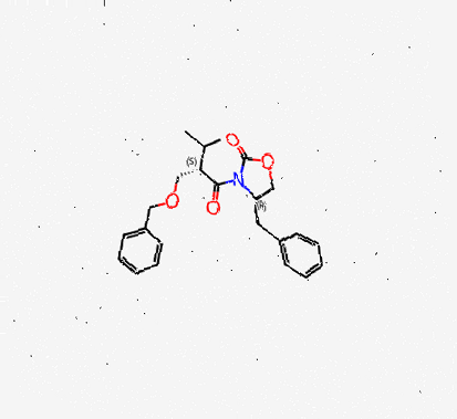 CC(C)[C@@H](COCc1ccccc1)C(=O)N1C(=O)OC[C@H]1Cc1ccccc1